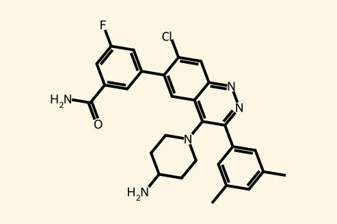 Cc1cc(C)cc(-c2nnc3cc(Cl)c(-c4cc(F)cc(C(N)=O)c4)cc3c2N2CCC(N)CC2)c1